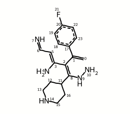 C=C(C(/C(N)=C/C=N)=C(\NN)C1CCNCC1)c1ccc(F)cc1